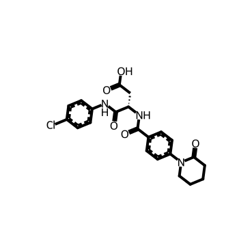 O=C(O)C[C@H](NC(=O)c1ccc(N2CCCCC2=O)cc1)C(=O)Nc1ccc(Cl)cc1